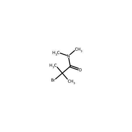 CN(C)C(=O)C(C)(C)Br